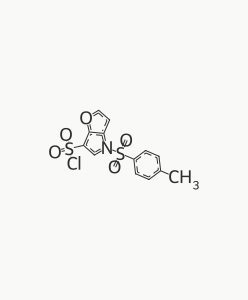 Cc1ccc(S(=O)(=O)n2cc(S(=O)(=O)Cl)c3occc32)cc1